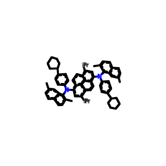 Cc1ccc2ccc(C)c(N(c3ccc(C4CCCCC4)cc3)c3cc(C(C)C)c4ccc5c(N(c6ccc(C7CCCCC7)cc6)c6c(C)ccc7ccc(C)cc67)cc(C(C)C)c6ccc3c4c65)c2c1